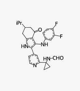 CC(C)C1CC(=O)c2c([nH]c(-c3ccnc(C4(NC=O)CC4)c3)c2Nc2ccc(F)c(F)c2)C1